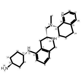 CN(C[C@H]1Cc2c(cccc2N[C@H]2CC[C@H](N)CC2)CN1)[C@H]1CCCc2cccnc21